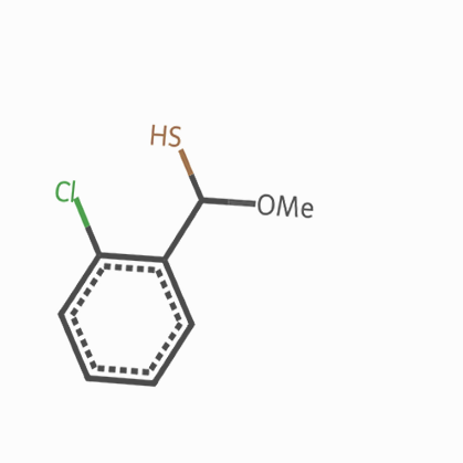 COC(S)c1ccccc1Cl